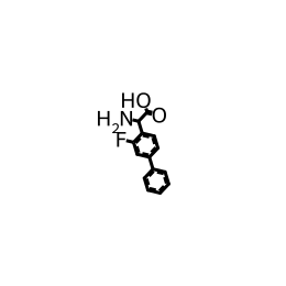 NC(C(=O)O)c1ccc(-c2ccccc2)cc1F